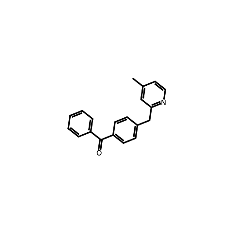 Cc1ccnc(Cc2ccc(C(=O)c3ccccc3)cc2)c1